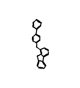 c1ccc(-c2ccc(Cc3cccc4c3Cc3ccccc3-4)cc2)cc1